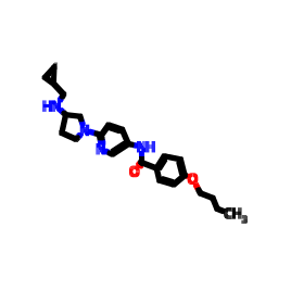 CCCCOc1ccc(C(=O)Nc2ccc(N3CCC(NCC4CC4)C3)nc2)cc1